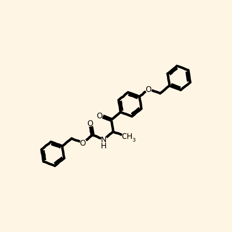 CC(NC(=O)OCc1ccccc1)C(=O)c1ccc(OCc2ccccc2)cc1